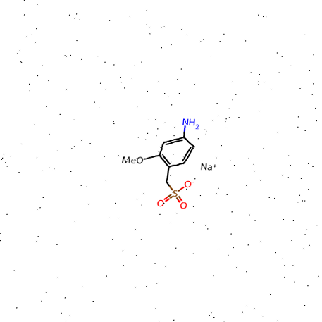 COc1cc(N)ccc1CS(=O)(=O)[O-].[Na+]